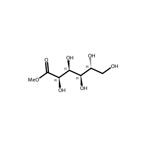 COC(=O)[C@H](O)[C@@H](O)[C@H](O)[C@H](O)CO